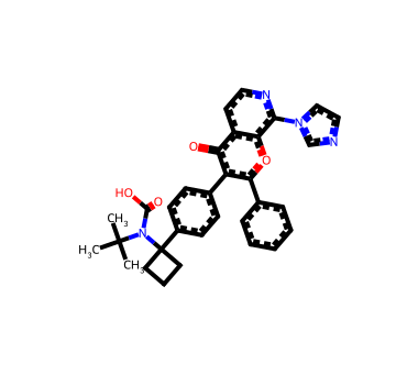 CC(C)(C)N(C(=O)O)C1(c2ccc(-c3c(-c4ccccc4)oc4c(-n5ccnc5)nccc4c3=O)cc2)CCC1